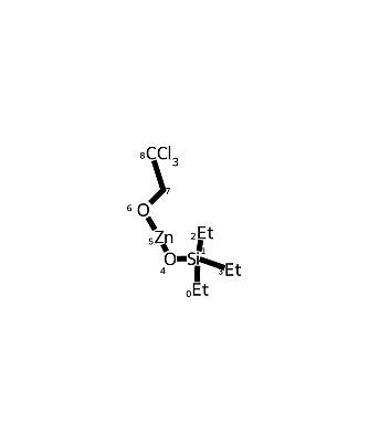 CC[Si](CC)(CC)[O][Zn][O]CC(Cl)(Cl)Cl